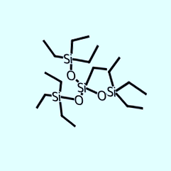 CC[Si](CC)(CC)O[Si](CC)(O[Si](CC)(CC)CC)O[Si](CC)(CC)CC